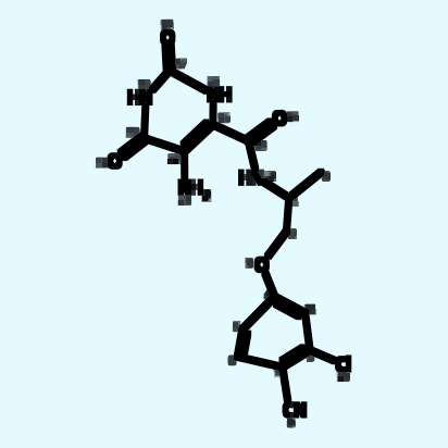 CC(COc1ccc(C#N)c(Cl)c1)NC(=O)c1[nH]c(=O)[nH]c(=O)c1N